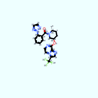 C[C@@H]1CC[C@@H](Oc2nccn3c(C(F)(F)F)cnc23)CN1C(=O)c1ccccc1-n1nccn1